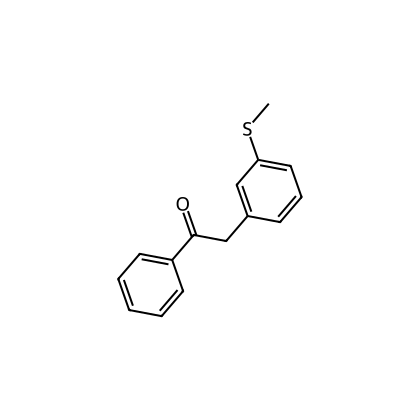 CSc1cccc(CC(=O)c2ccccc2)c1